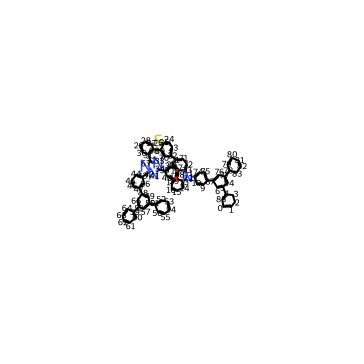 C1=CCCC(c2cc(-c3ccc(-n4c5ccccc5c5cc(-c6ccc7sc8cccc(-c9nc(-c%10ccccc%10)nc(-c%10cccc(-c%11cc(-c%12ccccc%12)cc(-c%12ccccc%12)c%11)c%10)n9)c8c7c6)ccc54)cc3)cc(C3C=CC=CC3)c2)=C1